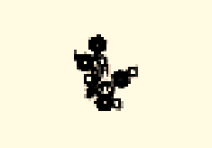 COc1cccc2c1CN(c1ccc(Cl)cc1)C[N@@+]1(CC(=O)Nc3ccc(I)cc3C(=O)c3ccccc3)CSC(C)=C21